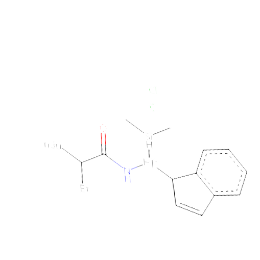 CCCCC(CC)C(=O)[NH][Hf+2]([CH]1C=Cc2ccccc21)[SiH](C)C.[Cl-].[Cl-]